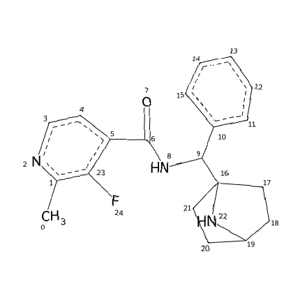 Cc1nccc(C(=O)NC(c2ccccc2)C23CCC(CC2)N3)c1F